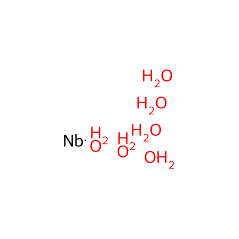 O.O.O.O.O.O.[Nb]